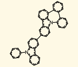 c1ccc(-n2c3ccccc3c3cc(-c4ccc5c(c4)c4cccc6c4n5-c4ccccc4-c4ccccc4-6)ccc32)cc1